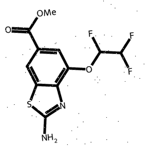 COC(=O)c1cc(OC(F)C(F)F)c2nc(N)sc2c1